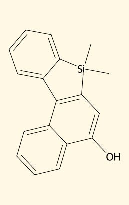 C[Si]1(C)c2ccccc2-c2c1cc(O)c1ccccc21